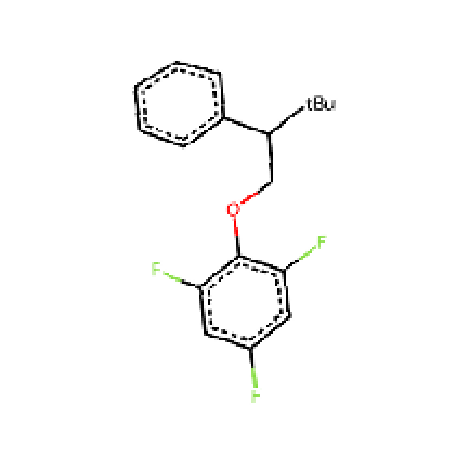 CC(C)(C)C(COc1c(F)cc(F)cc1F)c1ccccc1